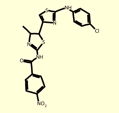 CC1N=C(NC(=O)c2ccc([N+](=O)[O-])cc2)SC1c1csc(Nc2ccc(Cl)cc2)n1